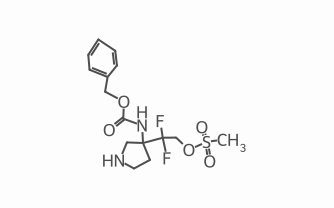 CS(=O)(=O)OCC(F)(F)C1(NC(=O)OCc2ccccc2)CCNC1